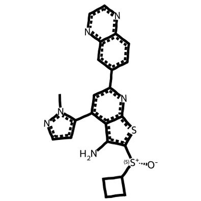 Cn1nccc1-c1cc(-c2ccc3nccnc3c2)nc2sc([S@+]([O-])C3CCC3)c(N)c12